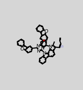 C=C/C=C\c1c(C)n(-c2ccccc2)c2c1ccc1c3ccccc3n(-c3nc(-c4ccc5oc6ccccc6c5c4)nc(-c4ccc5oc6ccccc6c5c4)n3)c12